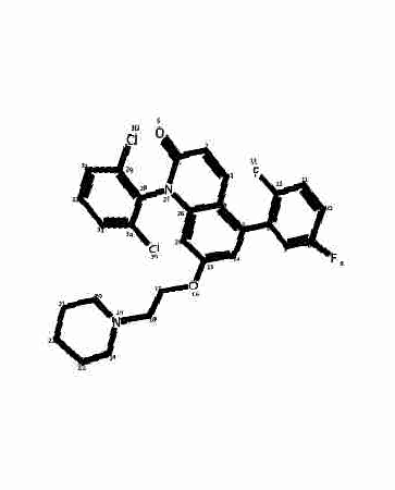 O=c1ccc2c(-c3cc(F)ccc3F)cc(OCCN3CCCCC3)cc2n1-c1c(Cl)cccc1Cl